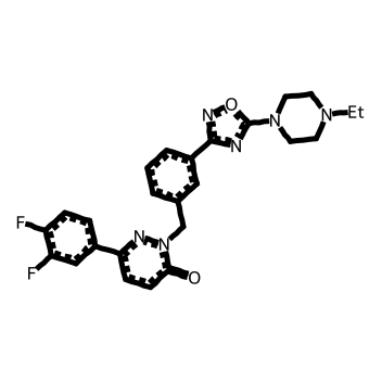 CCN1CCN(c2nc(-c3cccc(Cn4nc(-c5ccc(F)c(F)c5)ccc4=O)c3)no2)CC1